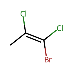 CC(Cl)=C(Cl)Br